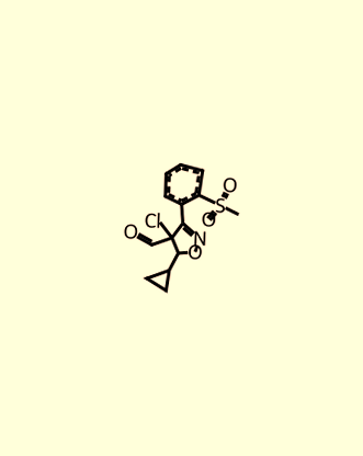 CS(=O)(=O)c1ccccc1C1=NOC(C2CC2)C1(Cl)C=O